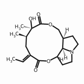 C/C=C1\C[C@@H](C)[C@@](C)(O)C(=O)OC[C@H]2CCN3CC[C@@H](OC1=O)[C@@H]23